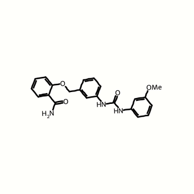 COc1cccc(NC(=O)Nc2cccc(COc3ccccc3C(N)=O)c2)c1